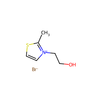 Cc1scc[n+]1CCO.[Br-]